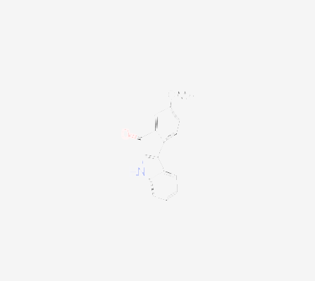 COc1ccc2c(c1)C(=O)c1[nH]c3ccccc3c1-2